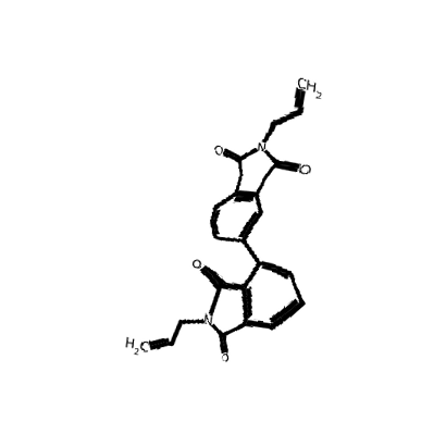 C=CCN1C(=O)c2ccc(-c3cccc4c3C(=O)N(CC=C)C4=O)cc2C1=O